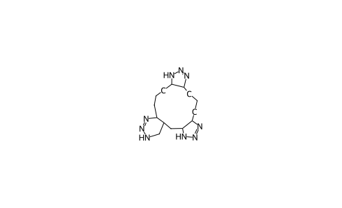 C1CC2N=NNC2CCCC2N=NNCC2CC2NN=NC2C1